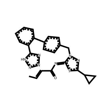 C/C=C/C(=O)N=c1sc(C2CC2)nn1Cc1ccc(-c2ccccc2-c2nnn[nH]2)cc1